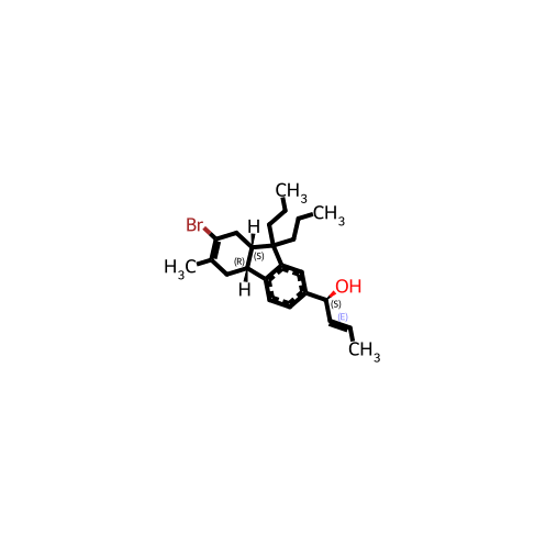 C/C=C/[C@H](O)c1ccc2c(c1)C(CCC)(CCC)[C@H]1CC(Br)=C(C)C[C@@H]21